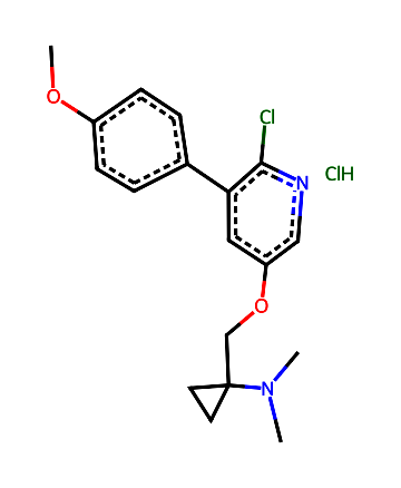 COc1ccc(-c2cc(OCC3(N(C)C)CC3)cnc2Cl)cc1.Cl